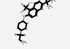 CCC(F)(F)[C@H]1CC[C@H](Oc2ccc3cc(C(C)(C)N)ccc3c2C(F)(F)F)CC1